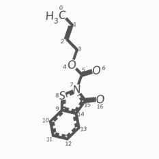 CC=CCOC(=O)n1sc2ccccc2c1=O